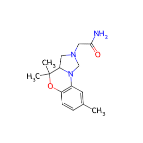 Cc1ccc2c(c1)N1CN(CC(N)=O)CC1C(C)(C)O2